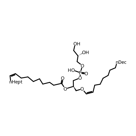 CCCCCCC/C=C\CCCCCCCC(=O)O[C@H](CO/C=C\CCCCCCCCCCCCCCCC)COP(=O)(O)OC[C@@H](O)CO